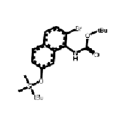 CC(C)(C)OC(=O)Nc1c(Br)ccc2ccc(O[Si](C)(C)C(C)(C)C)cc12